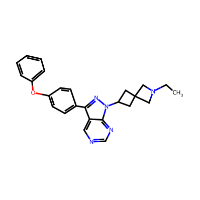 CCN1CC2(CC(n3nc(-c4ccc(Oc5ccccc5)cc4)c4cncnc43)C2)C1